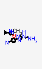 Cn1nc(C2CC2)cc1Oc1cc(C#N)ccc1-c1ncc(NCCN)cn1